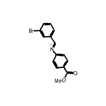 COC(=O)c1ccc(/N=C/c2cccc(Br)c2)cc1